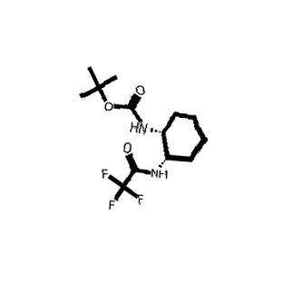 CC(C)(C)OC(=O)N[C@@H]1CCCC[C@@H]1NC(=O)C(F)(F)F